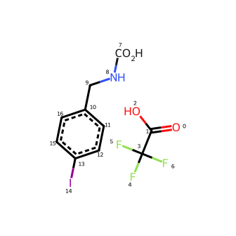 O=C(O)C(F)(F)F.O=C(O)NCc1ccc(I)cc1